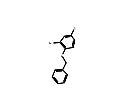 N#Cc1cc(Br)ccc1OCc1ccccc1